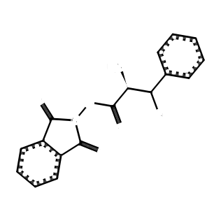 N[C@H](C(=O)ON1C(=O)c2ccccc2C1=O)C(Br)c1ccccc1